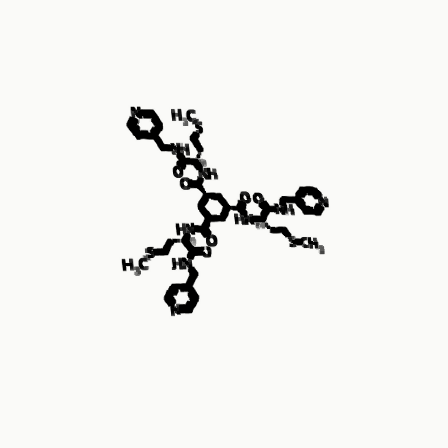 CSCC[C@H](NC(=O)C1C[C@H](C(=O)N[C@@H](CCSC)C(=O)NCc2ccncc2)C[C@H](C(=O)N[C@@H](CCSC)C(=O)NCc2ccncc2)C1)C(=O)NCc1ccncc1